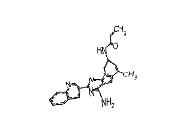 C=CC(=O)NC1C=C(C)c2cc3c(N)nc(-c4cnc5ccccc5c4)nc3n2C1